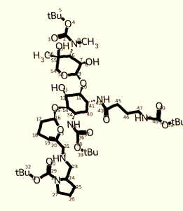 CN(C(=O)OC(C)(C)C)[C@@H]1[C@@H](O)[C@@H](O[C@@H]2[C@@H](O)[C@H](O[C@@H]3CCC=C(CNCC4CCCN4C(=O)OC(C)(C)C)O3)[C@@H](NC(=O)OC(C)(C)C)C[C@H]2NC(=O)CCCNC(=O)OC(C)(C)C)OC[C@]1(C)O